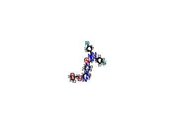 O=C(Cn1nc(-c2ccc(F)cc2)nc1-c1ccc(F)cc1)N1CCN(c2cc(OCC3CCCO3)ncn2)CC1